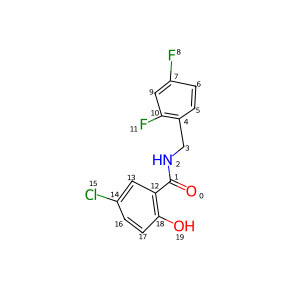 O=C(NCc1ccc(F)cc1F)c1cc(Cl)ccc1O